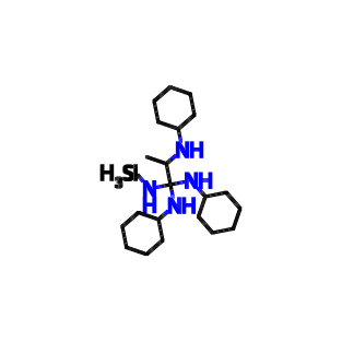 CC(NC1CCCCC1)C(N[SiH3])(NC1CCCCC1)NC1CCCCC1